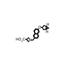 O=C(O)C1CN(Cc2ccc3cc(OC4C[C@@H]5C[C@@H]5C4)ccc3c2)C1